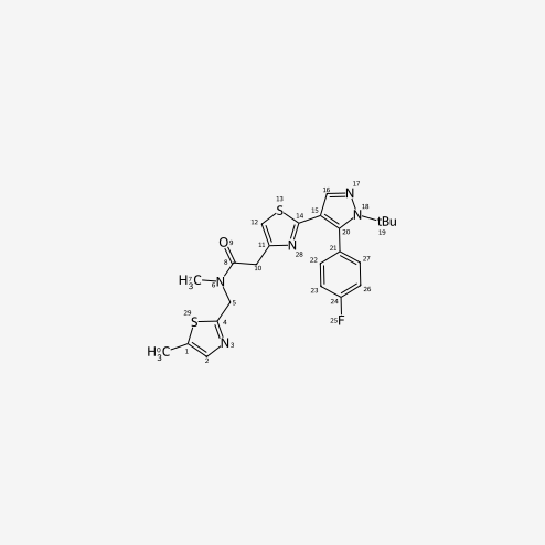 Cc1cnc(CN(C)C(=O)Cc2csc(-c3cnn(C(C)(C)C)c3-c3ccc(F)cc3)n2)s1